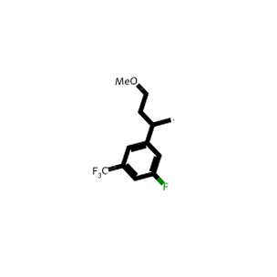 [CH2]C(CCOC)c1cc(F)cc(C(F)(F)F)c1